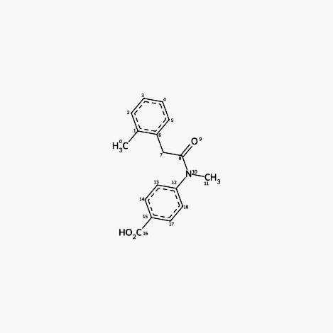 Cc1ccccc1CC(=O)N(C)c1ccc(C(=O)O)cc1